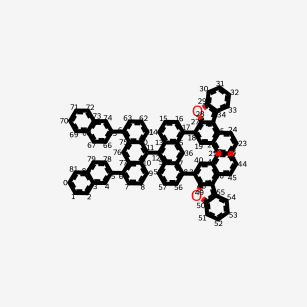 c1ccc2cc(-c3cccc4c(-c5c6cccc(-c7cc8ccccc8c8c7oc7ccccc78)c6cc6c(-c7cc8ccccc8c8c7oc7ccccc78)cccc56)c5cccc(-c6ccc7ccccc7c6)c5cc34)ccc2c1